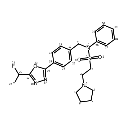 O=S(=O)(CCN1CCCC1)N(Cc1ccc(-c2nnc(C(F)F)o2)cc1)c1ccccc1